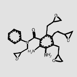 Nc1c(N)c(C(=O)N(CC2CO2)c2ccccc2)c(CC2CO2)c(CC2CO2)c1CC1CO1